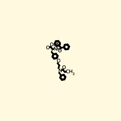 C=CC(=O)N(CCCOc1ccc(C[C@H](Nc2ccccc2C(=O)c2ccccc2)C(=O)OC)cc1)Cc1ccccc1